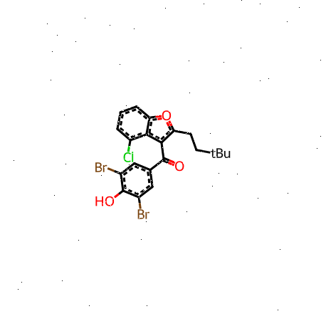 CC(C)(C)CCc1oc2cccc(Cl)c2c1C(=O)c1cc(Br)c(O)c(Br)c1